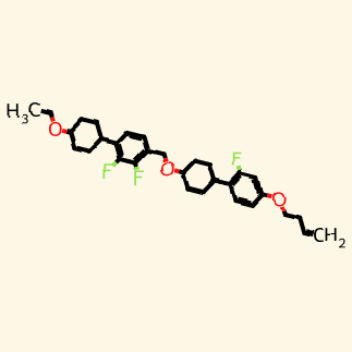 C=CCCOc1ccc(C2CCC(OCc3ccc(C4CCC(OCC)CC4)c(F)c3F)CC2)c(F)c1